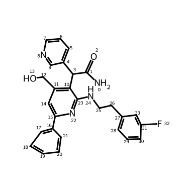 NC(=O)C(c1cccnc1)c1c(CO)cc(-c2ccccc2)nc1NCCc1cccc(F)c1